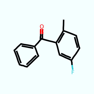 Cc1ccc(F)cc1C(=O)c1ccccc1